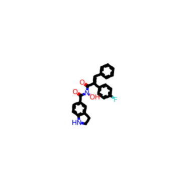 O=C(C(=Cc1ccccc1)c1ccc(F)cc1)N(O)C(=O)c1ccc2c(c1)CCN2